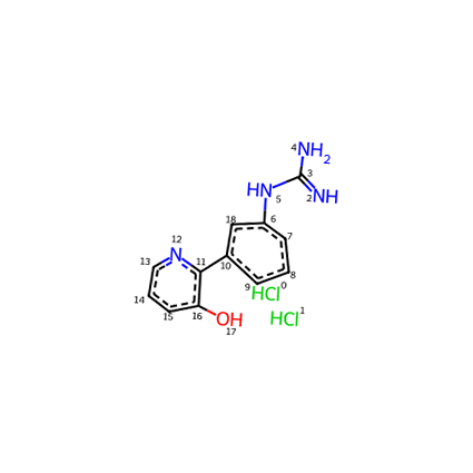 Cl.Cl.N=C(N)Nc1cccc(-c2ncccc2O)c1